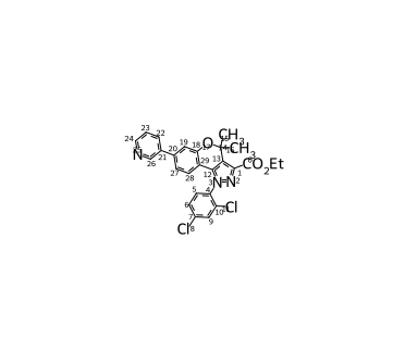 CCOC(=O)c1nn(-c2ccc(Cl)cc2Cl)c2c1C(C)(C)Oc1cc(-c3cccnc3)ccc1-2